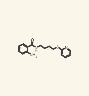 Nc1ccccc1C(=O)NCCCCSc1ccccn1